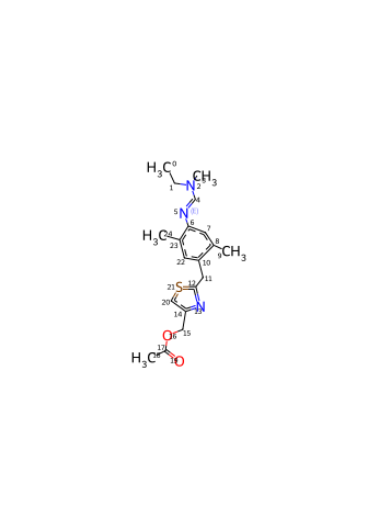 CCN(C)/C=N/c1cc(C)c(Cc2nc(COC(C)=O)cs2)cc1C